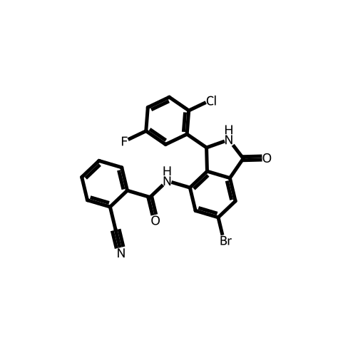 N#Cc1ccccc1C(=O)Nc1cc(Br)cc2c1C(c1cc(F)ccc1Cl)NC2=O